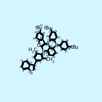 Cc1cc(-c2csc3ccccc23)cc(C)c1N1c2cccc3c2B(c2cc(C(C)(C)C)ccc2N3c2ccc(C(C)(C)C)cc2)c2c1oc1ccc(C(C)(C)C)cc21